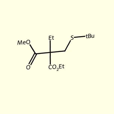 CCOC(=O)C(CC)(CSC(C)(C)C)C(=O)OC